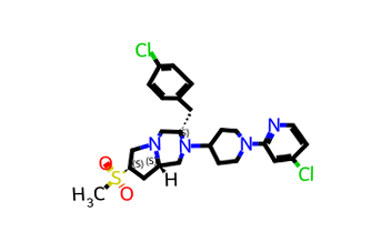 CS(=O)(=O)[C@H]1C[C@H]2CN(C3CCN(c4cc(Cl)ccn4)CC3)[C@@H](Cc3ccc(Cl)cc3)CN2C1